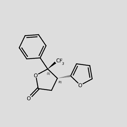 O=C1C[C@@H](c2ccco2)[C@](c2ccccc2)(C(F)(F)F)O1